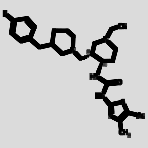 CC(=O)c1sc(NC(=O)N[C@@H]2CCN(CC#N)C[C@H]2CN2CCCC(Cc3ccc(F)cc3)C2)nc1C